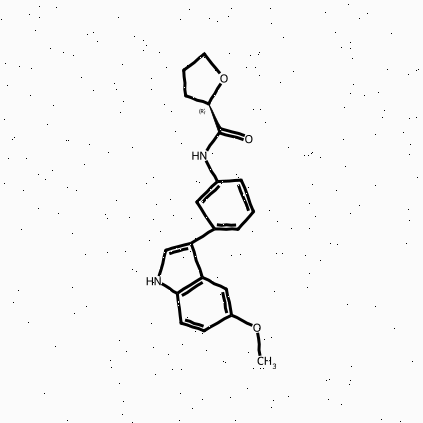 COc1ccc2[nH]cc(-c3cccc(NC(=O)[C@H]4CCCO4)c3)c2c1